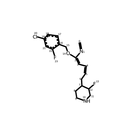 C=N/C(=C\C=C/CC1CCNCC1F)OCc1ccc(Cl)cc1F